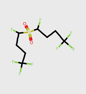 O=S(=O)(C(F)CCC(F)(F)F)C(F)CCC(F)(F)F